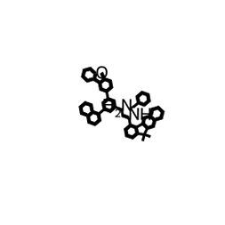 CC1(C)c2cc3ccccc3cc2-c2c(/C(=C/Cc3cc(-c4ccc5oc6ccccc6c5c4)cc(-c4cccc5ccccc45)c3)NC(N)c3ccccc3)cccc21